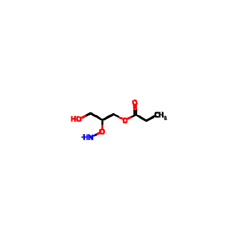 CCC(=O)OCC(CO)O[NH]